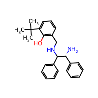 CC(C)(C)c1cccc(CNC(c2ccccc2)[C@H](N)c2ccccc2)c1O